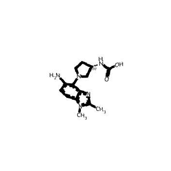 Cc1nc2c(N3CC[C@H](NC(=O)O)C3)c(N)ccc2n1C